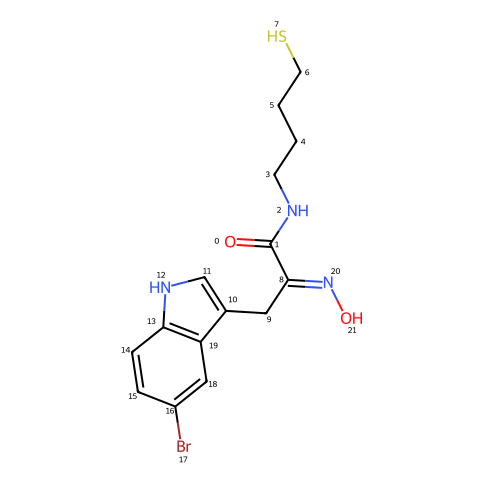 O=C(NCCCCS)/C(Cc1c[nH]c2ccc(Br)cc12)=N/O